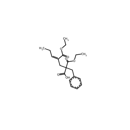 CCC=C(CC(Cc1ccccc1)(C(=O)O)C(=O)OCC)C(=O)OCC